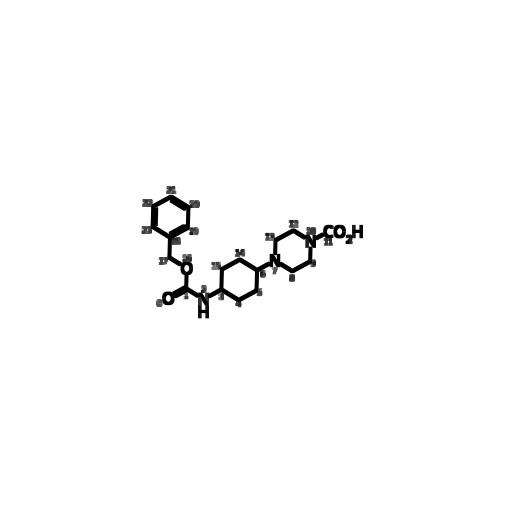 O=C(NC1CCC(N2CCN(C(=O)O)CC2)CC1)OCc1ccccc1